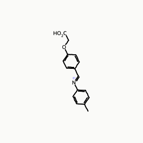 Cc1ccc(/N=C/c2ccc(OCC(=O)O)cc2)cc1